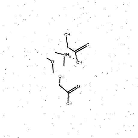 COC.C[SiH2]C.O=C(O)CO.O=C(O)CO